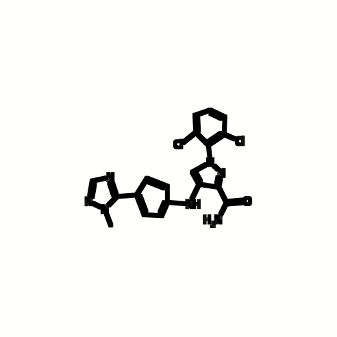 Cn1ncnc1-c1ccc(Nc2cn(-c3c(Cl)cccc3Cl)nc2C(N)=O)cc1